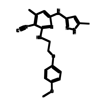 [C-]#[N+]c1c(C)cc(Nc2cc(C)[nH]n2)nc1NCCOc1ccc(OC)cc1